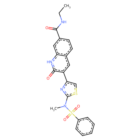 CCNC(=O)c1ccc2cc(-c3csc(N(C)S(=O)(=O)c4ccccc4)n3)c(=O)[nH]c2c1